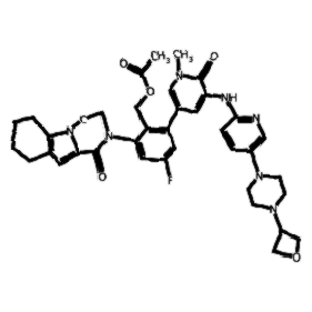 CC(=O)OCc1c(-c2cc(Nc3ccc(N4CCN(C5COC5)CC4)cn3)c(=O)n(C)c2)cc(F)cc1N1CCn2c(cc3c2CCCC3)C1=O